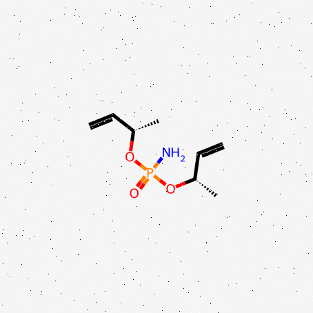 C=C[C@H](C)OP(N)(=O)O[C@@H](C)C=C